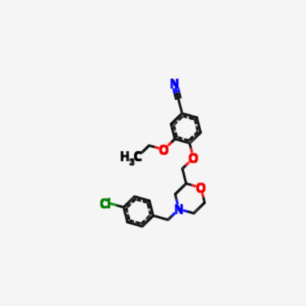 CCOc1cc(C#N)ccc1OCC1CN(Cc2ccc(Cl)cc2)CCO1